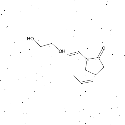 C=CC.C=CN1CCCC1=O.OCCO